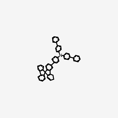 C1=CC2=C(CC1)c1cc(-c3ccc(N(c4ccc(-c5ccccc5)cc4)c4ccc(-c5ccccc5)cc4)cc3)ccc1C21c2ccccc2-c2ccccc21